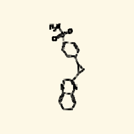 NS(=O)(=O)c1ccc(C2CC2c2cnc3ccccc3n2)cc1